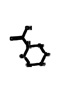 O=[C](O)[SnH]1[Sn][Sn][Sn][Sn][Sn]1